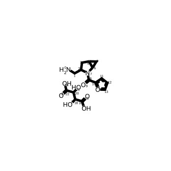 NCC1CC2CC2N1C(=O)c1ccco1.O=C(O)C(O)C(O)C(=O)O